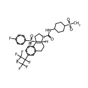 CS(=O)(=O)C1CCC(NC(=O)N2CC[C@@]3(S(=O)(=O)c4ccc(F)cc4)c4ccc(C(F)(C(F)(F)F)C(F)(F)F)cc4CC[C@@H]23)CC1